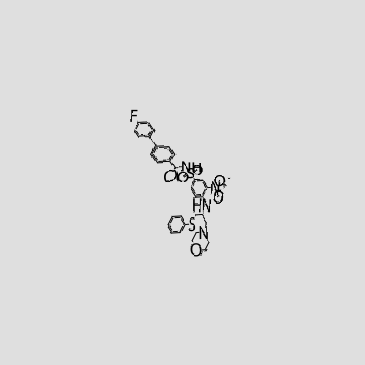 O=C(NS(=O)(=O)c1ccc(NC(CSc2ccccc2)CN2CCOCC2)c([N+](=O)[O-])c1)c1ccc(-c2ccc(F)cc2)cc1